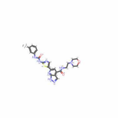 O=C(Nc1cccc(C(F)(F)F)c1)Nc1ncc(-c2cc(C(=O)NCCN3CCOCC3)c3cn[nH]c3n2)s1